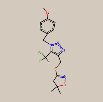 COc1ccc(Cn2nnc(CSC3=NOC(C)(C)C3)c2C(F)(F)Br)cc1